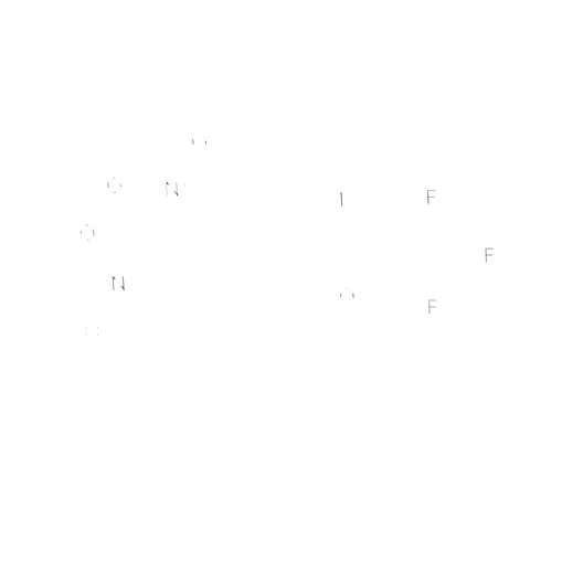 Cc1cc([N+](=O)[O-])c([N+](=O)[O-])cc1OC(F)C(F)(F)F